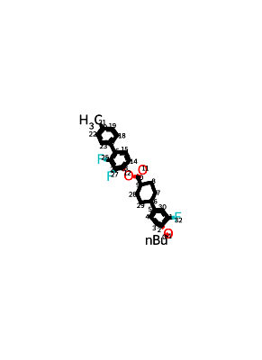 CCCCOc1ccc(C2CCC(C(=O)Oc3ccc(-c4ccc(C)cc4)c(F)c3F)CC2)cc1F